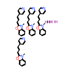 CN1C(=CC=Cc2ccncc2)Oc2ccccc21.CN1C(=CC=Cc2ccncc2)Oc2ccccc21.CN1C(=CC=Cc2ccncc2)Oc2ccccc21.CN1C(=CC=Cc2ccncc2)Oc2ccccc21.I.I.I.I